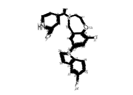 CC(c1cc[nH]c(=O)c1)N1CCOc2c(Cl)cc(-n3ccc4cc(F)ccc43)cc2C1